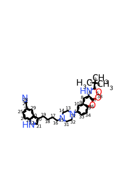 CC(C)(C)C(=O)Nc1cc2cc(N3CCN(CCCCc4c[nH]c5ccc(C#N)cc45)CC3)ccc2oc1=O